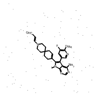 COc1ncc(-c2c(C3=CCC4(CC3)CCN(C=CC=O)CC4)n(C)c3ncnc(N)c23)cc1F